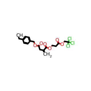 C=C(CC(=O)OCc1ccc(CC)cc1)C(=O)OCCC(=O)OCC(Cl)(Cl)Cl